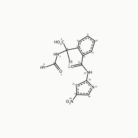 CCCC(=O)NC(CC)(C(=O)O)c1ccccc1C(=O)Nc1ncc([N+](=O)[O-])s1